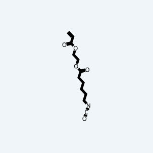 C=CC(=O)OCCOC(=O)CCCCCN=C=O